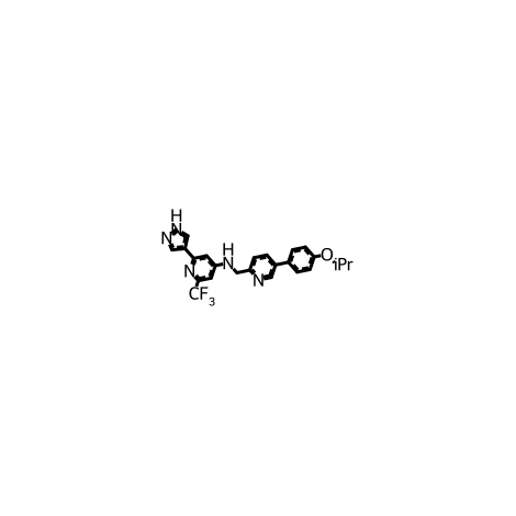 CC(C)Oc1ccc(-c2ccc(CNc3cc(-c4cn[nH]c4)nc(C(F)(F)F)c3)nc2)cc1